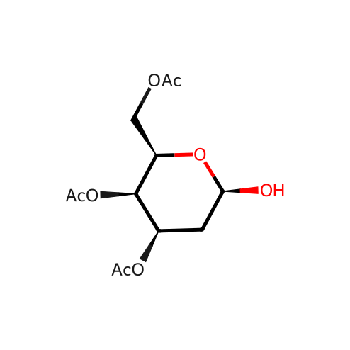 CC(=O)OC[C@H]1O[C@@H](O)C[C@@H](OC(C)=O)[C@H]1OC(C)=O